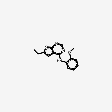 CCc1cc2c(Nc3ccccc3OC)ncnc2s1